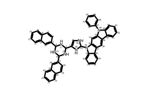 C1=C(C2NC(c3ccc4ccccc4c3)NC(c3ccc4ccccc4c3)N2)NC(n2c3ccccc3c3cc4c5ccccc5n(-c5ccccc5)c4cc32)N1